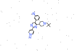 CN(C)c1cccc(-c2cnc(C3=CCNC=C3)nc2C2CCN(CC(C)(C)C)CC2)c1